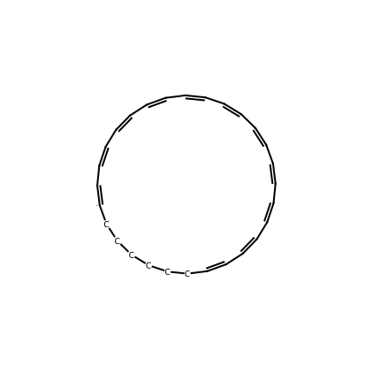 [C]1=C\C=C/C=C\C=C/C=C\C=C/C=CC=C\C=C/C=C\C=C/CCCCCC1